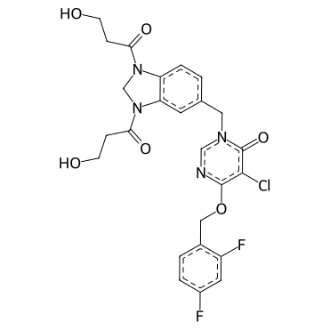 O=C(CCO)N1CN(C(=O)CCO)c2cc(Cn3cnc(OCc4ccc(F)cc4F)c(Cl)c3=O)ccc21